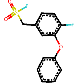 O=S(=O)(F)Cc1ccc(F)c(Oc2ccccc2)c1